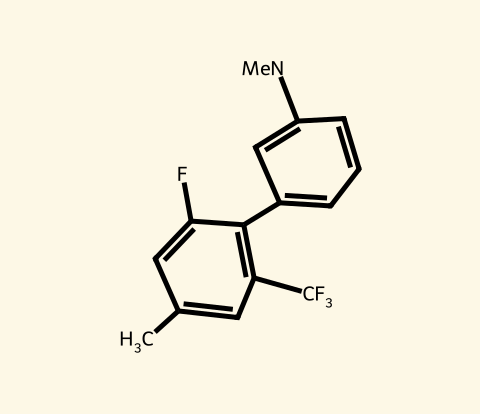 CNc1cccc(-c2c(F)cc(C)cc2C(F)(F)F)c1